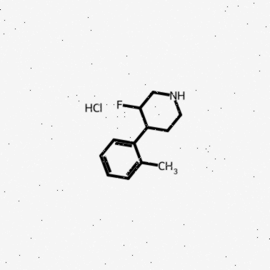 Cc1ccccc1C1CCNCC1F.Cl